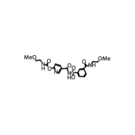 COCCNC(=O)Oc1ccc(C(=O)NS(=O)(=O)c2cccc(C(=O)NCCOC)c2)cn1